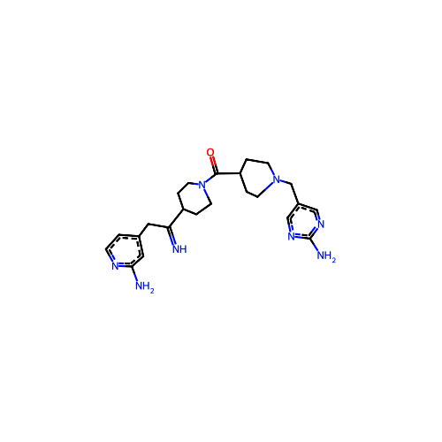 N=C(Cc1ccnc(N)c1)C1CCN(C(=O)C2CCN(Cc3cnc(N)nc3)CC2)CC1